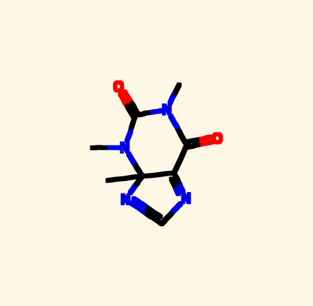 CN1C(=O)C2=NC=NC2(C)N(C)C1=O